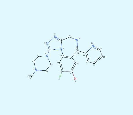 CCCN1CCN(c2nnc3n2-c2cc(F)c(Br)cc2C(c2ccccn2)=NC3)CC1